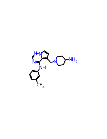 NC1CCN(Cc2ccn3ncnc(Nc4cccc(C(F)(F)F)c4)c23)CC1